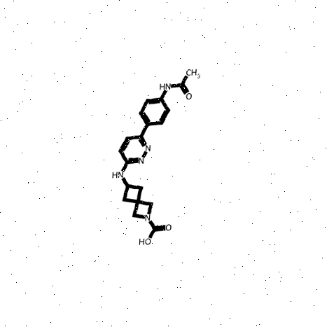 CC(=O)Nc1ccc(-c2ccc(NC3CC4(C3)CN(C(=O)O)C4)nn2)cc1